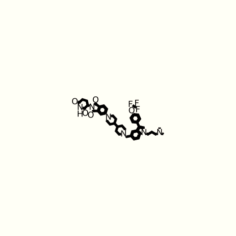 CN(C)CCCn1cc(-c2ccc(OC(F)(F)F)cc2)c2cc(CN3CCC(C4CCN(c5ccc6c(c5)C(=O)N(C5CCC(=O)NC5=O)C6=O)CC4)CC3)ccc21